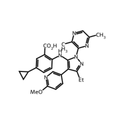 CCc1nn(-c2nc(C)cnc2C)c(Nc2ccc(C3CC3)cc2C(=O)O)c1-c1ccc(OC)nc1